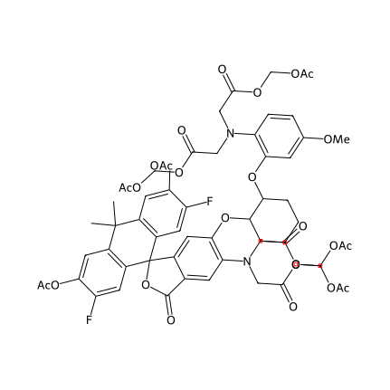 COc1ccc(N(CC(=O)OCOC(C)=O)CC(=O)OCOC(C)=O)c(OC2CCCCC2Oc2cc3c(cc2N(CC(=O)OCOC(C)=O)CC(=O)OCOC(C)=O)C(=O)OC32c3cc(F)c(OC(C)=O)cc3C(C)(C)c3cc(OC(C)=O)c(F)cc32)c1